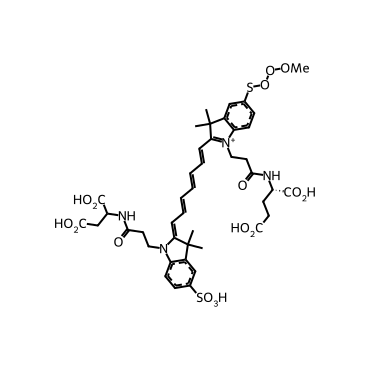 COOOSc1ccc2c(c1)C(C)(C)C(/C=C/C=C/C=C/C=C1/N(CCC(=O)NC(CC(=O)O)C(=O)O)c3ccc(S(=O)(=O)O)cc3C1(C)C)=[N+]2CCC(=O)N[C@@H](CCC(=O)O)C(=O)O